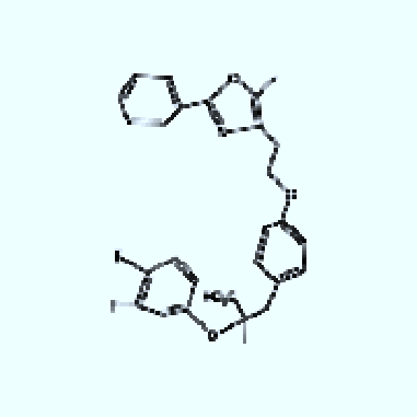 Cc1oc(-c2ccccc2)nc1CCOc1ccc(CC(C)(Oc2ccc(F)c(F)c2)C(=O)O)cc1